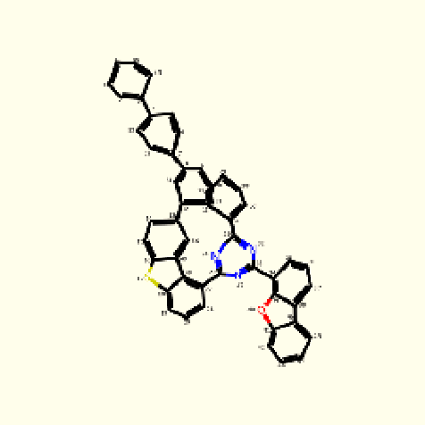 c1ccc(-c2ccc(-c3cccc(-c4ccc5sc6cccc(-c7nc(-c8ccccc8)nc(-c8cccc9c8oc8ccccc89)n7)c6c5c4)c3)cc2)cc1